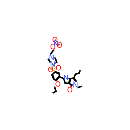 CCCOc1ccc(S(=O)(=O)N2CCN(CCO[N+](=O)[O-])CC2)cc1C1=Nc2c(CCC)cn(CC)c(=O)c2C1